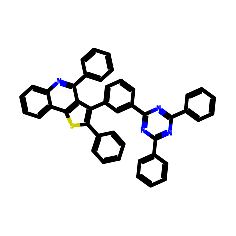 c1ccc(-c2nc(-c3ccccc3)nc(-c3cccc(-c4c(-c5ccccc5)sc5c4c(-c4ccccc4)nc4ccccc45)c3)n2)cc1